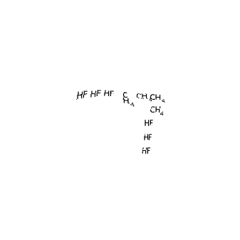 C.C.C.C.F.F.F.F.F.F